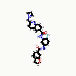 O=C(Nc1ccc(F)c(NC(=O)c2ccc3nc(CN4CCC4)ccc3c2)c1)c1ccc2c(c1)OCC2